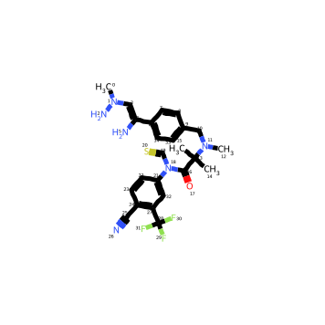 CN(N)/C=C(\N)c1ccc(CN(C)C(C)(C)C(=O)N(C=S)c2ccc(C#N)c(C(F)(F)F)c2)cc1